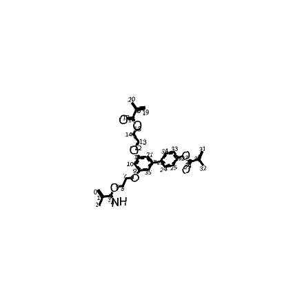 C=C(C)C(=N)OCCOc1cc(OCCOC(=O)C(=C)C)cc(-c2ccc(OC(=O)C(=C)C)cc2)c1